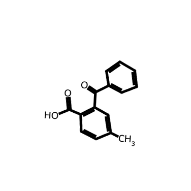 Cc1ccc(C(=O)O)c(C(=O)c2ccccc2)c1